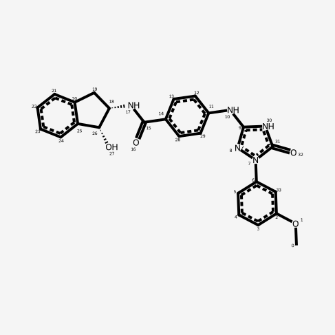 COc1cccc(-n2nc(Nc3ccc(C(=O)N[C@H]4Cc5ccccc5[C@H]4O)cc3)[nH]c2=O)c1